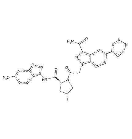 NC(=O)c1nn(CC(=O)N2C[C@H](F)C[C@H]2C(=O)Nc2noc3cc(C(F)(F)F)ccc23)c2ccc(-c3ccnnc3)cc12